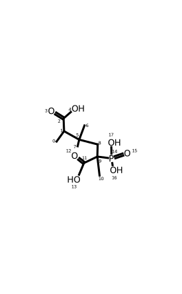 CC(C(=O)O)C(C)(C)CC(C)(C(=O)O)P(=O)(O)O